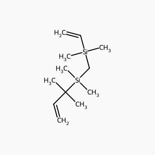 C=CC(C)(C)[Si](C)(C)C[Si](C)(C)C=C